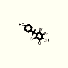 CC(C)(c1ccc(O)cc1)c1c(Br)c(Cl)c(O)c(Br)c1Br